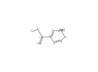 CCC(=O)C1=CNCC=C1